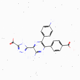 Nc1ccc(-c2nc(-c3nnc(C(=O)O)[nH]3)c(N)nc2-c2ccc(C(=O)O)cc2)cc1